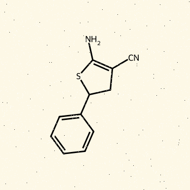 N#CC1=C(N)SC(c2ccccc2)C1